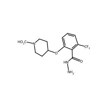 NNC(=O)c1c(OC2CCN(C(=O)O)CC2)cccc1C(F)(F)F